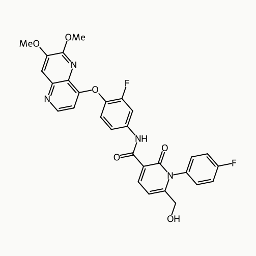 COc1cc2nccc(Oc3ccc(NC(=O)c4ccc(CO)n(-c5ccc(F)cc5)c4=O)cc3F)c2nc1OC